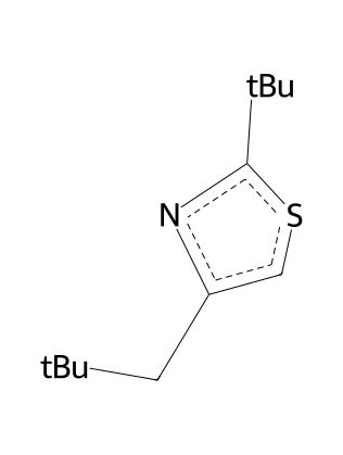 CC(C)(C)Cc1csc(C(C)(C)C)n1